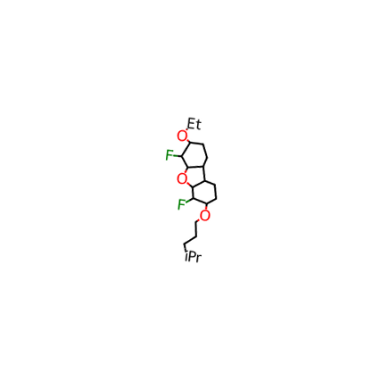 CCOC1CCC2C3CCC(OCCCC(C)C)C(F)C3OC2C1F